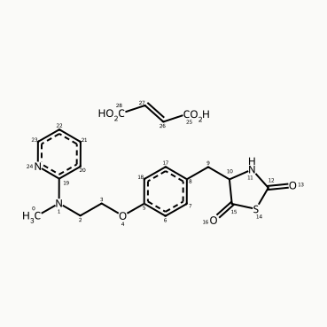 CN(CCOc1ccc(CC2NC(=O)SC2=O)cc1)c1ccccn1.O=C(O)C=CC(=O)O